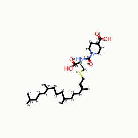 C/C(=C\CSC[C@H](NC(=O)N1CCC(C(=O)O)CC1)C(=O)O)CCCC(C)CCCC(C)CCCC(C)C